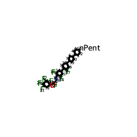 CCCCCc1ccc(-c2ccc(-c3ccc(-c4cc(F)c(/C=C/C(F)(F)Oc5cc(F)c(F)c(F)c5)c(F)c4)c(F)c3)cc2)cc1